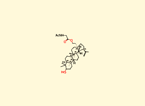 C=C(C)[C@@H]1CC[C@]2(CCOC(=O)CNC(C)=O)CC[C@]3(C)[C@H](CC[C@@H]4[C@@]5(C)CCC(O)C(C)(C)[C@@H]5CC[C@]43C)[C@@H]12